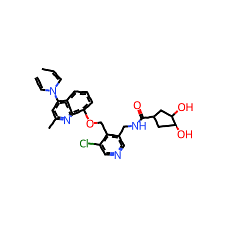 C=CN(/C=C\C)c1cc(C)nc2c(OCc3c(Cl)cncc3CNC(=O)C3CC(O)[C@@H](O)C3)cccc12